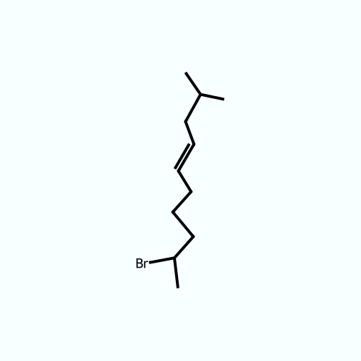 CC(C)C/C=C/CCCC(C)Br